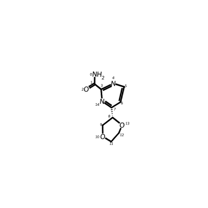 NC(=O)c1nccc([C@H]2COCCO2)n1